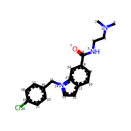 CN(C)CCNC(=O)c1ccc2ccn(Cc3ccc(Cl)cc3)c2c1